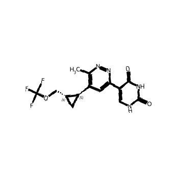 Cc1nnc(-c2c[nH]c(=O)[nH]c2=O)cc1[C@H]1C[C@@H]1COC(F)(F)F